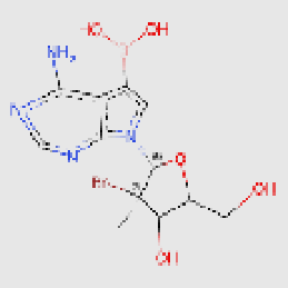 C[C@@]1(Br)C(O)C(CO)O[C@H]1n1cc(B(O)O)c2c(N)ncnc21